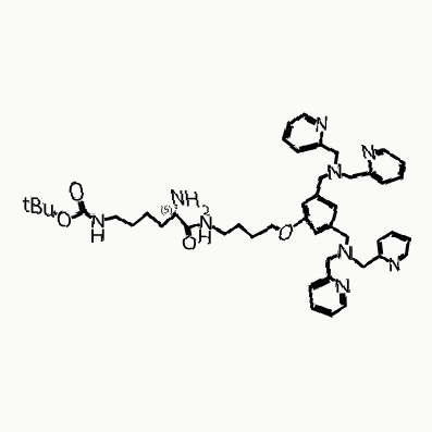 CC(C)(C)OC(=O)NCCCC[C@H](N)C(=O)NCCCCOc1cc(CN(Cc2ccccn2)Cc2ccccn2)cc(CN(Cc2ccccn2)Cc2ccccn2)c1